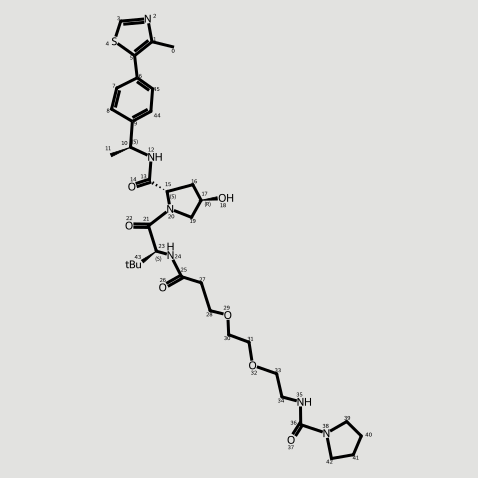 Cc1ncsc1-c1ccc([C@H](C)NC(=O)[C@@H]2C[C@@H](O)CN2C(=O)[C@@H](NC(=O)CCOCCOCCNC(=O)N2CCCC2)C(C)(C)C)cc1